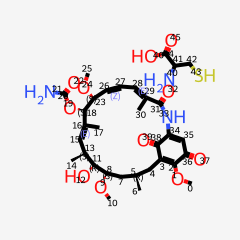 COC1=C2C[C@@H](C)C[C@H](OC)[C@H](O)[C@@H](C)/C=C(\C)[C@H](OC(N)=O)[C@@H](OC)/C=C\C=C(/C)C(=O)NC(=CC1=O)C2=O.NC(CS)C(=O)O